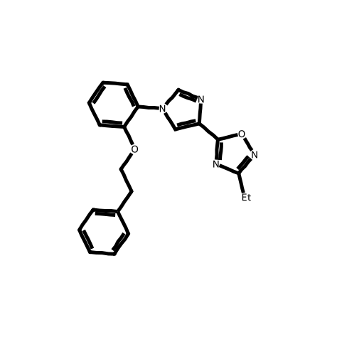 CCc1noc(-c2cn(-c3ccccc3OCCc3ccccc3)cn2)n1